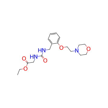 CCOC(=O)CNC(=O)NCc1ccccc1OCCN1CCOCC1